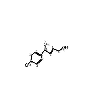 OCC=CC(O)c1ccc(Cl)cc1